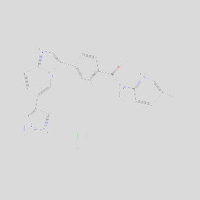 Cc1ccc(NC(=O)c2ccc(-c3cnc4ccc(-c5cn[nH]c5)cn34)cc2F)nc1.Cl.Cl